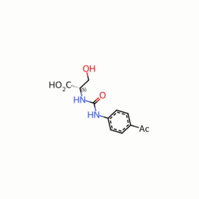 CC(=O)c1ccc(NC(=O)N[C@@H](CO)C(=O)O)cc1